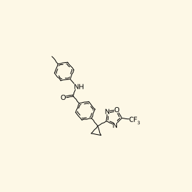 Cc1ccc(NC(=O)c2ccc(C3(c4noc(C(F)(F)F)n4)CC3)cc2)cc1